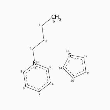 CCCC[n+]1ccccc1.c1ccsc1